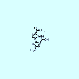 CC(=O)c1ccc(-c2nc(C)ns2)n1NC(=O)O